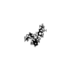 CC(C)(C)[C@H](NC(=O)C(F)(F)F)C(=O)N1C[C@H]2[C@@H]([C@H]1C(=O)N[C@H](C#N)CC1C[C@H](C(F)(F)F)NC1=O)[C@H]1C=C[C@@H]2C1